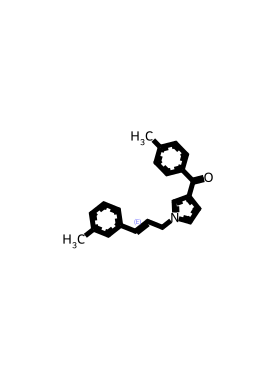 Cc1ccc(C(=O)c2ccn(C/C=C/c3cccc(C)c3)c2)cc1